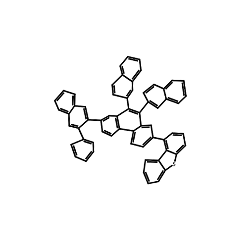 c1ccc(-c2cc3ccccc3cc2-c2ccc3c(c2)c(-c2ccc4ccccc4c2)c(-c2ccc4ccccc4c2)c2cc(-c4cccc5sc6ccccc6c45)ccc23)cc1